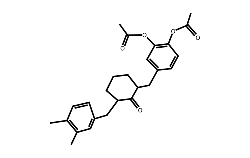 CC(=O)Oc1ccc(CC2CCCC(Cc3ccc(C)c(C)c3)C2=O)cc1OC(C)=O